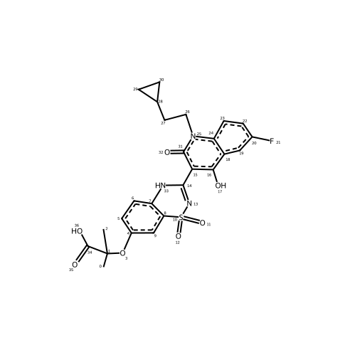 CC(C)(Oc1ccc2c(c1)S(=O)(=O)N=C(c1c(O)c3cc(F)ccc3n(CCC3CC3)c1=O)N2)C(=O)O